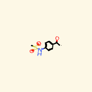 [CH2]C(=O)c1ccc(NS(C)(=O)=O)cc1